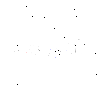 CCOc1cccc(Sc2cnc(N3CCC4(CCC[C@H]4N)CC3)cn2)c1